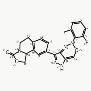 Cc1cccc(F)c1N1N=c2c(-c3ccc4c(c3)C3COC(=O)N3CC4)n[nH]c2=CO1